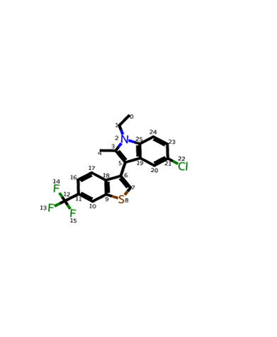 CCn1c(C)c(-c2csc3cc(C(F)(F)F)ccc23)c2cc(Cl)ccc21